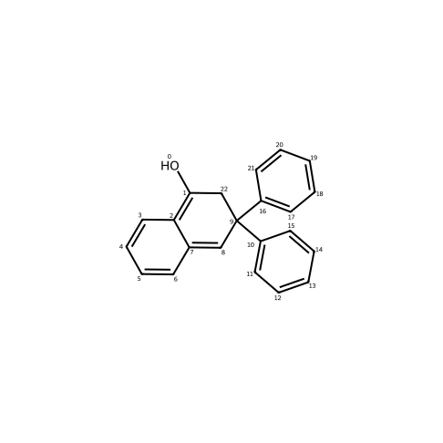 OC1=c2ccccc2=CC(c2ccccc2)(c2ccccc2)C1